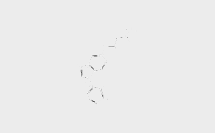 CN(C)CCOc1ccc2c(c1)ncn2-c1ccccc1